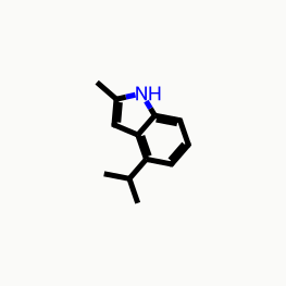 Cc1cc2c(C(C)C)cccc2[nH]1